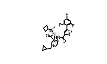 C[C@@H](NC(=O)[C@@H]1CN(CC2CC2)CC[C@H]1NC(=O)c1cc(-c2c(F)cc(F)cc2F)on1)C1CCC1